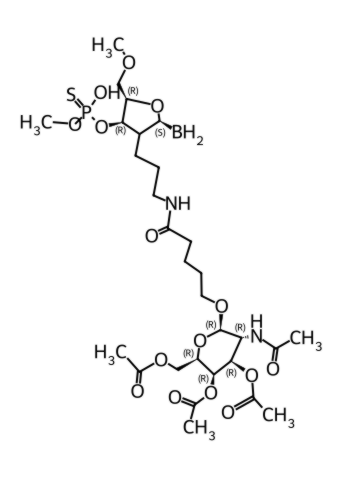 B[C@@H]1O[C@H](COC)[C@H](OP(O)(=S)OC)C1CCCNC(=O)CCCCO[C@@H]1O[C@H](COC(C)=O)[C@H](OC(C)=O)[C@H](OC(C)=O)[C@H]1NC(C)=O